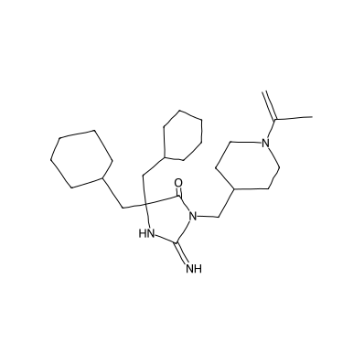 C=C(C)N1CCC(CN2C(=N)NC(CC3CCCCC3)(CC3CCCCC3)C2=O)CC1